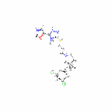 Cc1ncoc1-c1nnc(SCCCN2CC[C@]3(C[C@@H]3c3cc(Cl)cc(Cl)c3)C2)n1C